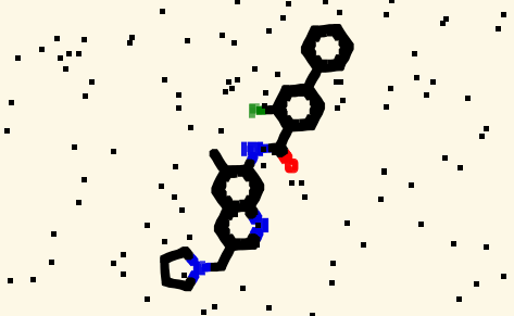 Cc1cc2cc(CN3CCCC3)cnc2cc1NC(=O)c1ccc(-c2ccccc2)cc1F